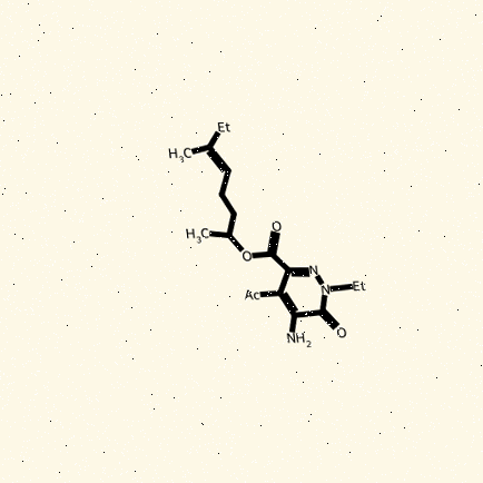 CCC(C)=CCCC(C)OC(=O)c1nn(CC)c(=O)c(N)c1C(C)=O